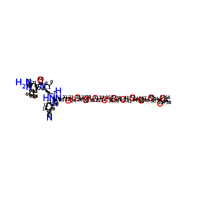 CCCN(CC#CCN/C(=N\c1cccc(C#N)c1)NCCOCCOCCOCCOCCOCCOCCOCCOCCOCCOCCC(=O)OC(C)(C)C)C(=O)C1=Cc2sccc2N=C(N)C1